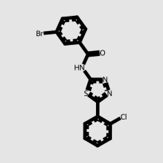 O=C(Nc1nnc(-c2ccccc2Cl)s1)c1cccc(Br)c1